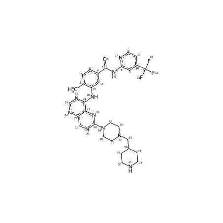 Cc1ccc(C(=O)Nc2cc(C(F)(F)F)ccn2)cc1Nc1ncnc2cnc(N3CCN(CC4CCNCC4)CC3)nc12